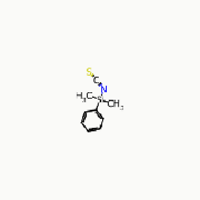 C[Si](C)(N=C=S)c1ccccc1